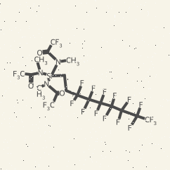 CN(C(=O)C(F)(F)F)[Si](CCC(F)(F)C(F)(F)C(F)(F)C(F)(F)C(F)(F)C(F)(F)C(F)(F)F)(N(C)C(=O)C(F)(F)F)N(C)C(=O)C(F)(F)F